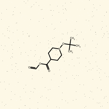 CC(C)(C)ON1CCC(C(=O)OC=O)CC1